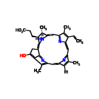 C=CC1=C(C)C2=NC1=CC1=NC(=CC3=C(C)C4=C(O)CC(=C5NC(=C2)[C@@H](C)[C@@H]5CCC(=O)O)C4=N3)C(CC)=C1C